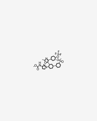 COC(=O)Nc1ccn(-c2ccc(-c3cccc(S(C)(=O)=O)c3)cc2-c2oc(C)nc2-c2ccc(OC(F)(F)F)cc2)n1